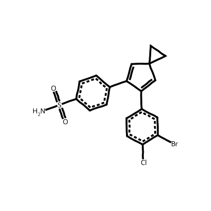 NS(=O)(=O)c1ccc(C2=CC3(C=C2c2ccc(Cl)c(Br)c2)CC3)cc1